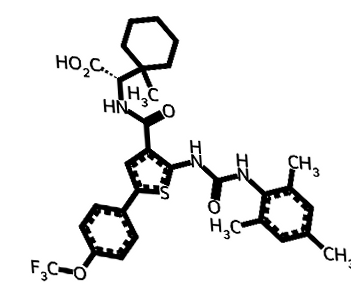 Cc1cc(C)c(NC(=O)Nc2sc(-c3ccc(OC(F)(F)F)cc3)cc2C(=O)N[C@H](C(=O)O)C2(C)CCCCC2)c(C)c1